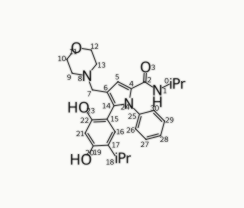 CC(C)NC(=O)c1cc(CN2CCOCC2)c(-c2cc(C(C)C)c(O)cc2O)n1-c1ccccc1